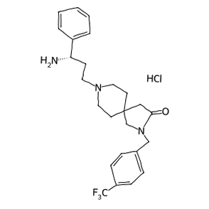 Cl.N[C@@H](CCN1CCC2(CC1)CC(=O)N(Cc1ccc(C(F)(F)F)cc1)C2)c1ccccc1